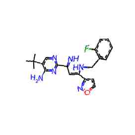 CC(C)(C)c1cnc(C(=N)/C=C(\NCc2ccccc2F)c2ccon2)nc1N